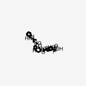 O=C(N[C@H]1CCC[C@H]2CC[C@@H](C(=O)N3CC(c4nc5ccccc5[nH]4)C3)N2C1=O)c1cc2cc(C(F)(F)P(=O)(O)O)ccc2s1